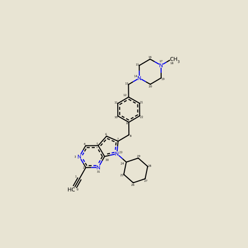 C#Cc1ncc2cc(Cc3ccc(CN4CCN(C)CC4)cc3)n(C3CCCCC3)c2n1